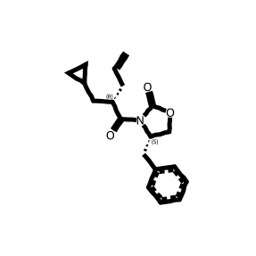 C=CC[C@@H](CC1CC1)C(=O)N1C(=O)OC[C@@H]1Cc1ccccc1